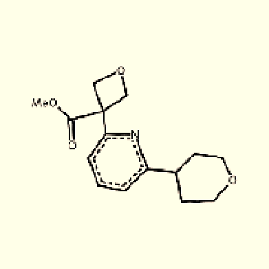 COC(=O)C1(c2cccc(C3CCOCC3)n2)COC1